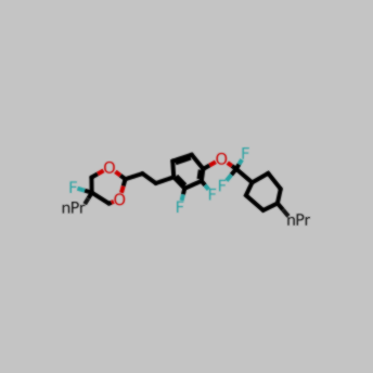 CCCC1CCC(C(F)(F)Oc2ccc(CCC3OCC(F)(CCC)CO3)c(F)c2F)CC1